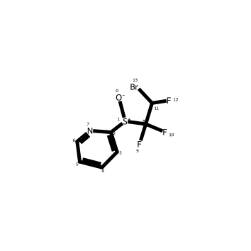 [O-][S+](c1ccccn1)C(F)(F)C(F)Br